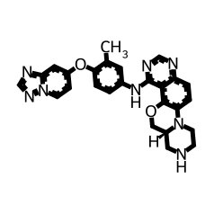 Cc1cc(Nc2ncnc3ccc4c(c23)OC[C@H]2CNCCN42)ccc1Oc1ccn2ncnc2c1